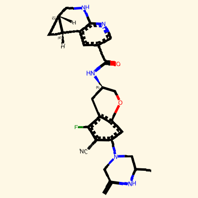 C=C1CN(c2cc3c(c(F)c2C#N)C[C@@H](NC(=O)c2cnc4c(c2)[C@@H]2C[C@@H]2CN4)CO3)CC(C)N1